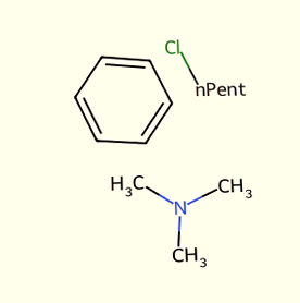 CCCCCCl.CN(C)C.c1ccccc1